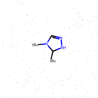 CC(C)(C)C1NN=CN1C(C)(C)C